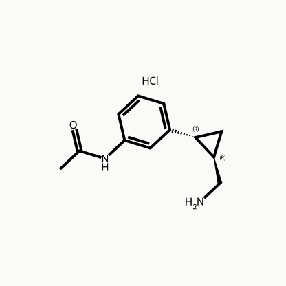 CC(=O)Nc1cccc([C@@H]2C[C@H]2CN)c1.Cl